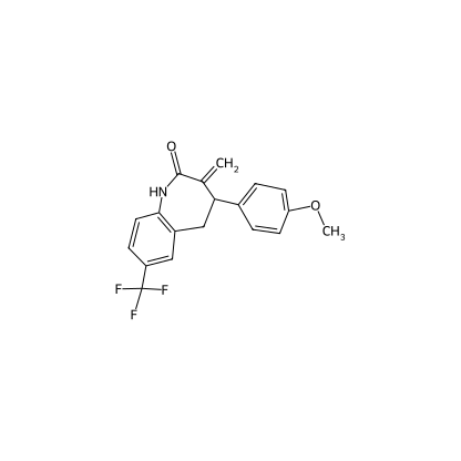 C=C1C(=O)Nc2ccc(C(F)(F)F)cc2CC1c1ccc(OC)cc1